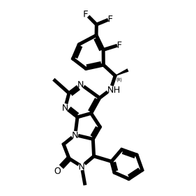 Cc1nc(N[C@H](C)c2cccc(C(F)F)c2F)c2cc3n(c2n1)CC(=O)N(C)C3c1ccccc1